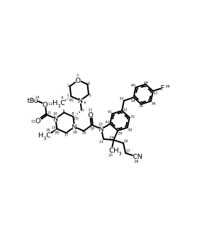 C[C@@H]1COCCN1C[C@H]1CN(C(=O)OC(C)(C)C)[C@H](C)CN1CC(=O)N1CC(C)(CCC#N)c2ccc(Cc3ccc(F)cc3)cc21